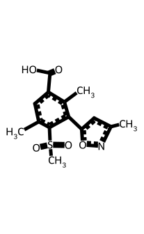 Cc1cc(-c2c(C)c(C(=O)O)cc(C)c2S(C)(=O)=O)on1